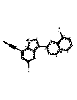 CC#Cc1cc(F)cc2c(-c3ccc4cccc(Cl)c4n3)c[nH]c12